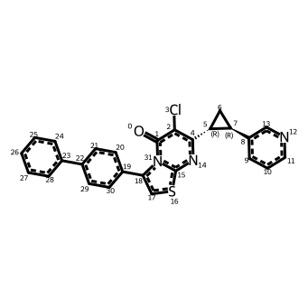 O=c1c(Cl)c([C@@H]2C[C@H]2c2cccnc2)nc2scc(-c3ccc(-c4ccccc4)cc3)n12